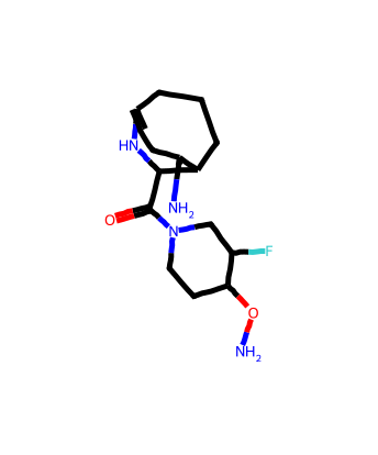 NOC1CCN(C(=O)C2NC3=CCC(N)=C2CCC3)CC1F